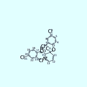 CC1(Oc2ccc(Cl)cc2Cl)C=CC=NC1Oc1ccc(Cl)cc1Cl